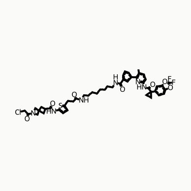 Cc1ccc(NC(=O)C2(c3ccc4c(c3)OC(F)(F)O4)CC2)nc1-c1cccc(C(=O)NCCCCCCCCNC(=O)CCc2ccc(NC(=O)C3CC4(C3)CN(C(=O)CCl)C4)s2)c1